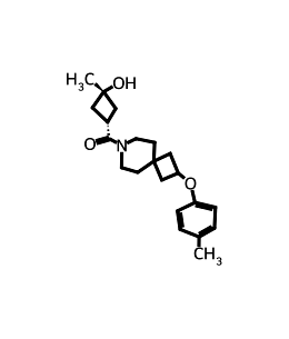 Cc1ccc(OC2CC3(CCN(C(=O)[C@H]4C[C@@](C)(O)C4)CC3)C2)cc1